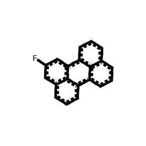 Fc1cc2cccc3c4cccc5cccc(c(c1)c23)c54